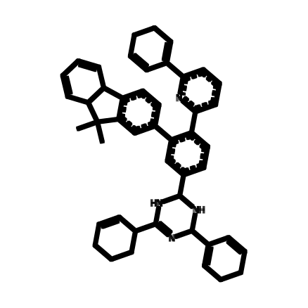 CC1(C)c2cc(-c3cc(C4NC(C5C=CCCC5)=NC(C5=CCCC=C5)N4)ccc3-c3cccc(C4=CCCC=C4)n3)ccc2C2C=CC=CC21